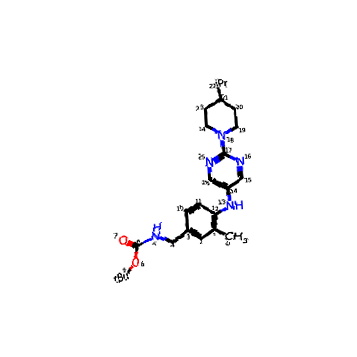 Cc1cc(CNC(=O)OC(C)(C)C)ccc1Nc1cnc(N2CCC(C(C)C)CC2)nc1